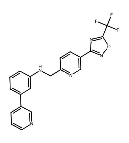 FC(F)(F)c1nc(-c2ccc(CNc3cccc(-c4cccnc4)c3)nc2)no1